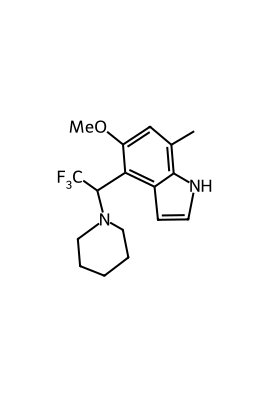 COc1cc(C)c2[nH]ccc2c1C(N1CCCCC1)C(F)(F)F